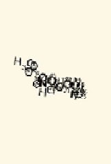 COC(=O)CCS(=O)(=O)Nc1cccc(Oc2ccc3c(c2)C2=NCCCN2C=N3)c1Cl